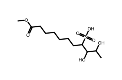 COC(=O)CCCCCCC(C(O)C(C)O)S(=O)(=O)O